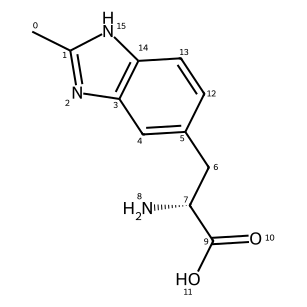 Cc1nc2cc(C[C@@H](N)C(=O)O)ccc2[nH]1